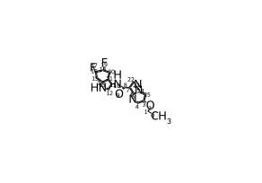 CCOc1cnc2c(C(=O)Nc3c[nH]c4cc(F)c(F)cc34)cnn2c1